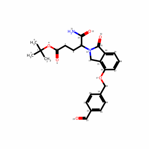 CC(C)(C)OC(=O)CCC(C(N)=O)N1Cc2c(OCc3ccc(C=O)cc3)cccc2C1=O